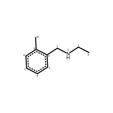 CCNCc1ccccc1C